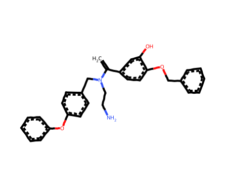 C=C(c1ccc(OCc2ccccc2)c(O)c1)N(CCN)Cc1ccc(Oc2ccccc2)cc1